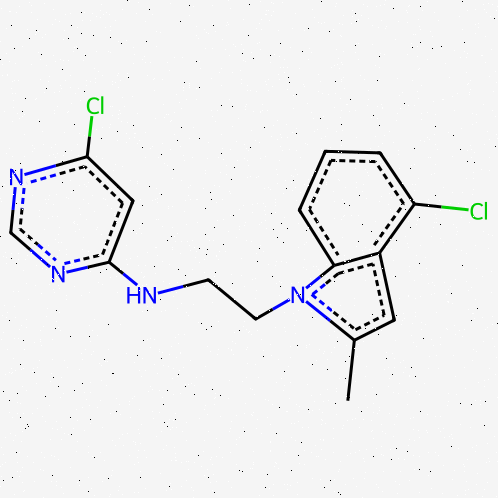 Cc1cc2c(Cl)cccc2n1CCNc1cc(Cl)ncn1